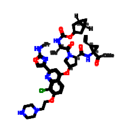 C=C[C@@H]1C[C@]1(NC(=O)[C@@H]1C[C@@H](Oc2cc(-c3coc(NC(C)C)n3)nc3c(Cl)c(OCCN4CCNCC4)ccc23)CN1C(=O)[C@@H](NC(=O)OC1C[C@@H]2C[C@@H]2C1)C(C)(C)C)C(=O)OC